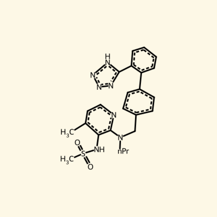 CCCN(Cc1ccc(-c2ccccc2-c2nnn[nH]2)cc1)c1nccc(C)c1NS(C)(=O)=O